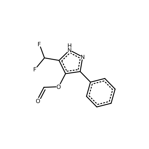 O=COc1c(-c2ccccc2)n[nH]c1C(F)F